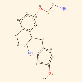 COc1ccc(CC2c3cc(OCCN)ccc3CCC2N)cc1